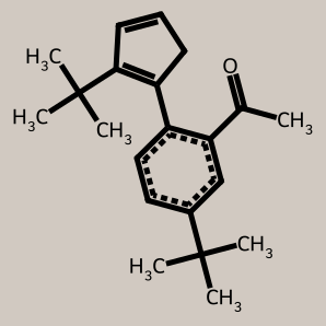 CC(=O)c1cc(C(C)(C)C)ccc1C1=C(C(C)(C)C)C=CC1